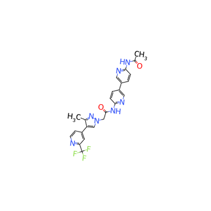 CC(=O)Nc1ccc(-c2ccc(NC(=O)Cn3cc(-c4ccnc(C(F)(F)F)c4)c(C)n3)nc2)cn1